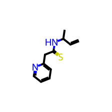 C=CC(C)NC(=S)Cc1ccccn1